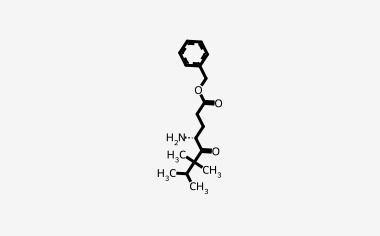 CC(C)C(C)(C)C(=O)[C@H](N)CCC(=O)OCc1ccccc1